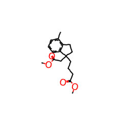 COC(=O)CCCC1(CC(=O)OC)CCc2c(C)cccc21